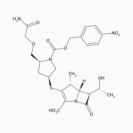 C[C@@H](O)[C@H]1C(=O)N2C(C(=O)O)=C(S[C@H]3C[C@@H](COCC(N)=O)N(C(=O)OCc4ccc([N+](=O)[O-])cc4)C3)[C@H](C)[C@H]12